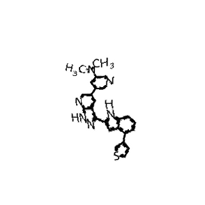 CN(C)c1cncc(-c2cnc3[nH]nc(-c4cc5c(-c6ccsc6)cccc5[nH]4)c3c2)c1